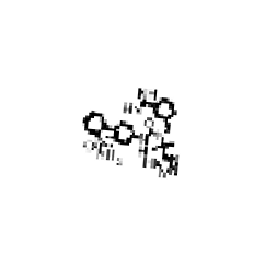 CC(C)(c1nnn[nH]1)N(Cc1cccc(C(=N)N)c1)C(=O)Nc1ccc(-c2ccccc2S(N)(=O)=O)cc1